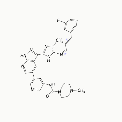 Cc1nc(-c2n[nH]c3ncc(-c4cncc(NC(=O)N5CCN(C)CC5)c4)cc23)[nH]c1/N=C\C=C\c1cccc(F)c1